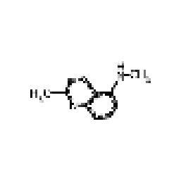 CNc1cccc2nc(C)ccc12